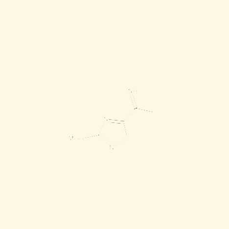 COc1nsc(C(C)=N)n1